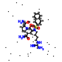 N=C(N)NCCCCN([C@@H](CCC(N)=O)C(=O)N1CCC[C@H]1C(N)=O)S(=O)(=O)c1ccc2ccccc2c1